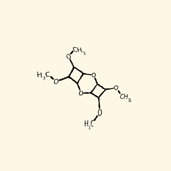 COC1C(OC)C2OC3C(OC)C(OC)C3OC12